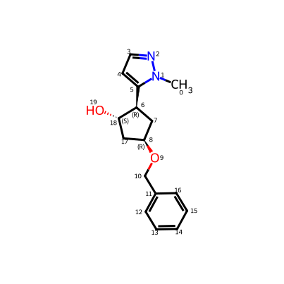 Cn1nccc1[C@H]1C[C@@H](OCc2ccccc2)C[C@@H]1O